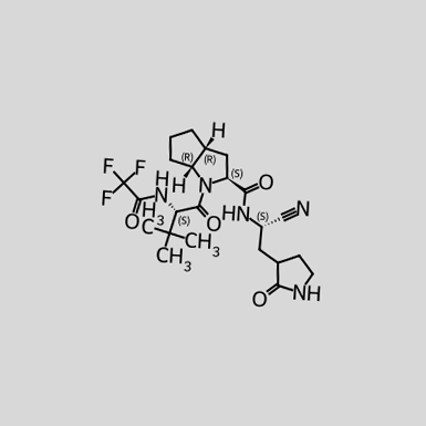 CC(C)(C)[C@H](NC(=O)C(F)(F)F)C(=O)N1[C@@H]2CCC[C@@H]2C[C@H]1C(=O)N[C@H](C#N)CC1CCNC1=O